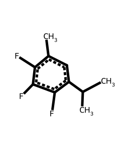 Cc1cc(C(C)C)c(F)c(F)c1F